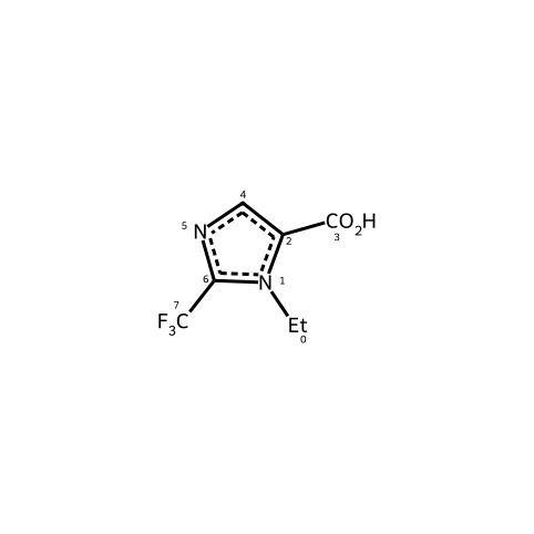 CCn1c(C(=O)O)cnc1C(F)(F)F